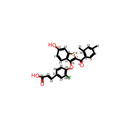 Cc1ccc(C(=O)c2sc3cc(O)ccc3c2Oc2ccc(/C=C/C(=O)O)cc2F)c(C)c1